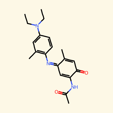 CCN(CC)c1ccc(N=C2C=C(NC(C)=O)C(=O)C=C2C)c(C)c1